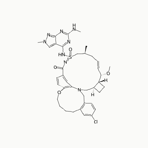 CNc1nc(NS2(=O)=NC(=O)c3ccc4c(c3)N(Cc3ccc(Cl)cc3CCCCO4)C[C@@H]3CC[C@H]3[C@@H](OC)/C=C/C[C@H](C)C2)c2cn(C)nc2n1